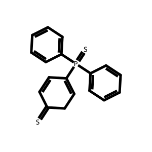 S=C1C=CC(P(=S)(c2ccccc2)c2ccccc2)=CC1